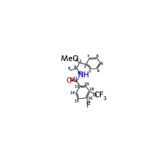 COC(c1ccccc1)C(C)NC(=O)c1ccc(F)c(C(F)(F)F)c1